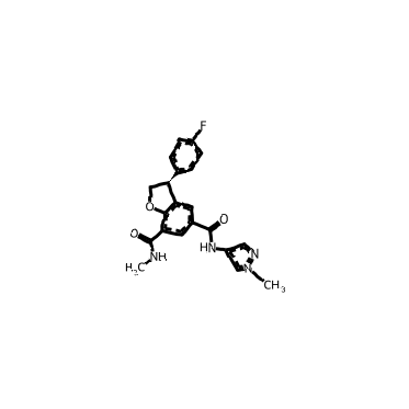 CNC(=O)c1cc(C(=O)Nc2cnn(C)c2)cc2c1OC[C@H]2c1ccc(F)cc1